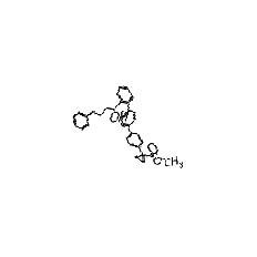 CCOC(=O)C1(c2ccc(-c3ccc(-c4ccccc4C(O)CCCc4ccccc4)cc3)cc2)CC1